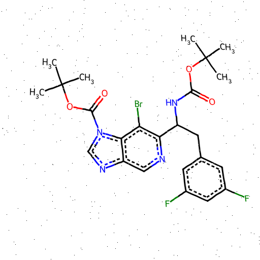 CC(C)(C)OC(=O)NC(Cc1cc(F)cc(F)c1)c1ncc2ncn(C(=O)OC(C)(C)C)c2c1Br